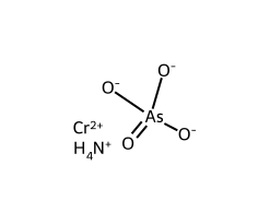 O=[As]([O-])([O-])[O-].[Cr+2].[NH4+]